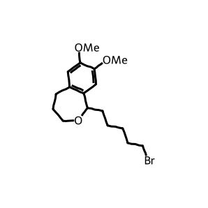 COc1cc2c(cc1OC)C(CCCCCBr)OCCC2